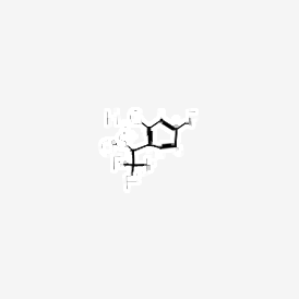 Cc1cc(F)[c]cc1C([S+]=O)C(F)(F)F